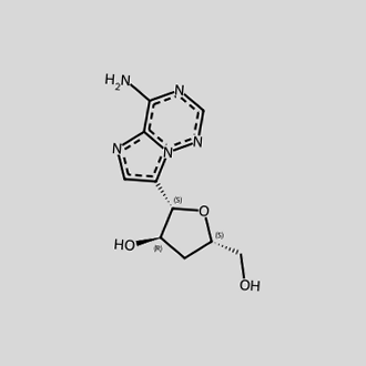 Nc1ncnn2c([C@@H]3O[C@H](CO)C[C@H]3O)cnc12